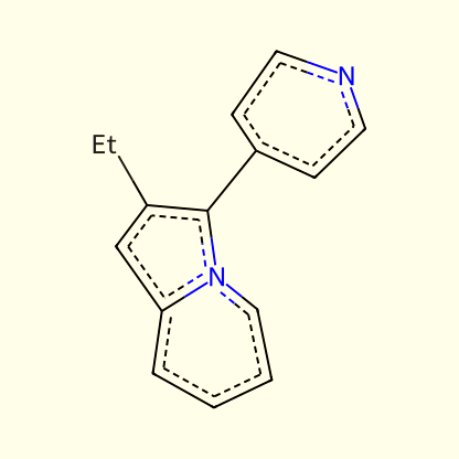 CCc1cc2ccccn2c1-c1ccncc1